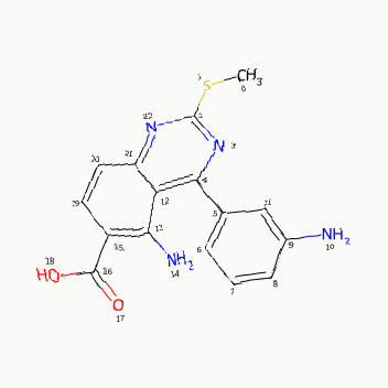 CSc1nc(-c2cccc(N)c2)c2c(N)c(C(=O)O)ccc2n1